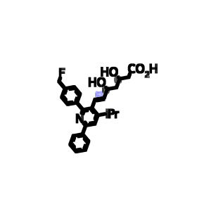 CC(C)c1cc(-c2ccccc2)nc(-c2ccc(CF)cc2)c1/C=C/[C@@H](O)C[C@@H](O)CC(=O)O